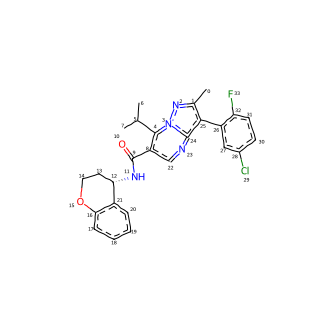 Cc1nn2c(C(C)C)c(C(=O)N[C@H]3CCOc4ccccc43)cnc2c1-c1cc(Cl)ccc1F